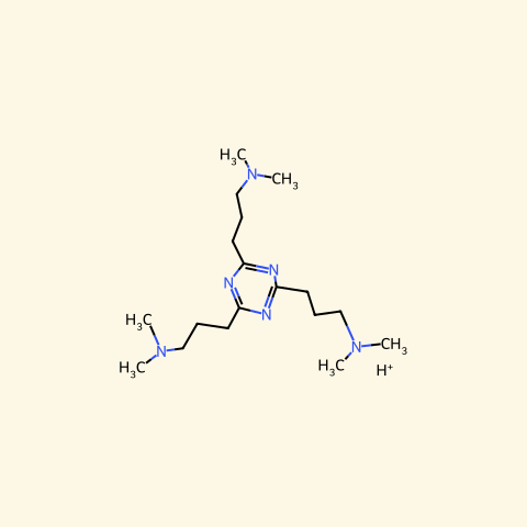 CN(C)CCCc1nc(CCCN(C)C)nc(CCCN(C)C)n1.[H+]